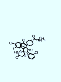 CNC(=O)N1CCC(Oc2ccc(Cl)c(F)c2[C@H]2NC(=O)C[C@@H](c3cccc(Cl)c3)[C@]23C(=O)Nc2cc(Cl)ccc23)CC1